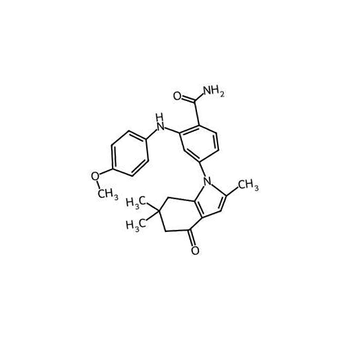 COc1ccc(Nc2cc(-n3c(C)cc4c3CC(C)(C)CC4=O)ccc2C(N)=O)cc1